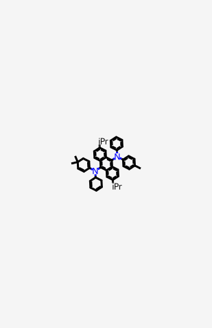 Cc1ccc(N(c2ccccc2)c2c3cc(C(C)C)ccc3c(N(C3=CCC(C)(C)C=C3)C3C=CC=CC3)c3cc(C(C)C)ccc23)cc1